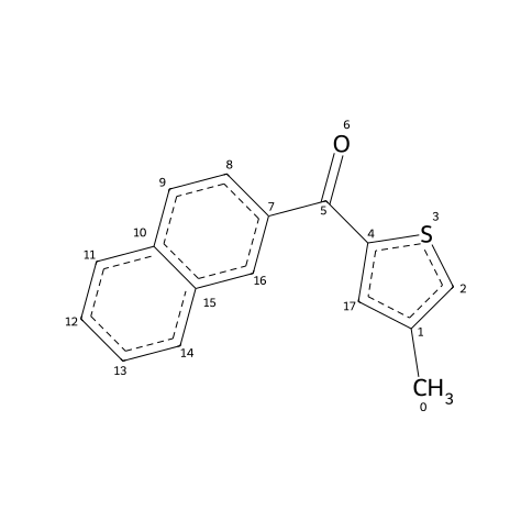 Cc1csc(C(=O)c2ccc3ccccc3c2)c1